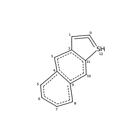 C1=Cc2cc3ccccc3cc2[SH]=1